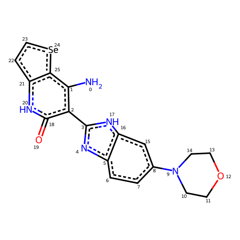 Nc1c(-c2nc3ccc(N4CCOCC4)cc3[nH]2)c(=O)[nH]c2cc[se]c12